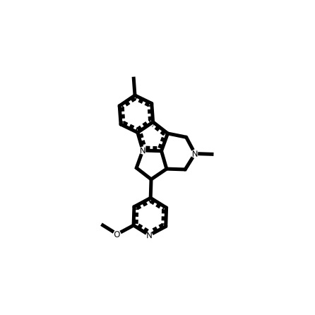 COc1cc(C2Cn3c4c(c5cc(C)ccc53)CN(C)CC42)ccn1